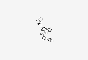 CC1CCCCN1C(=O)CCc1cn(-c2ccccc2)c(NC(=O)c2cccc(-c3cn[nH]c3)c2)n1